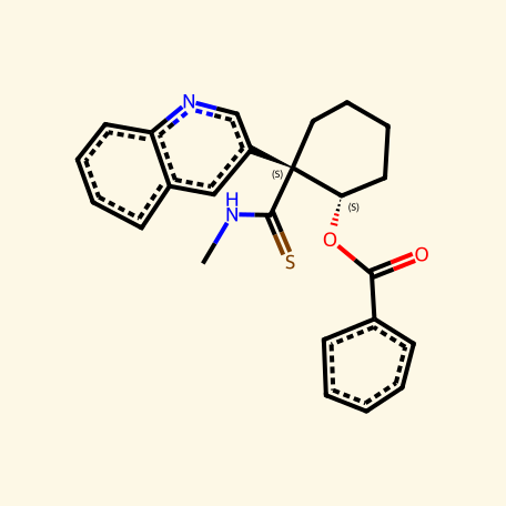 CNC(=S)[C@]1(c2cnc3ccccc3c2)CCCC[C@@H]1OC(=O)c1ccccc1